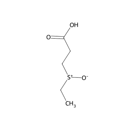 CC[S+]([O-])CCC(=O)O